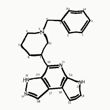 c1ccc(CN2CCCC(c3nc4[nH]ccc4c4cn[nH]c34)C2)cc1